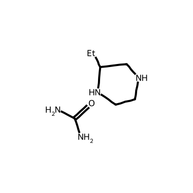 CCC1CNCCN1.NC(N)=O